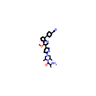 COc1c(-c2ccc(N3CC(C)N(C(=O)C(C)N)C(C)C3)nc2)cnc2c(-c3ccc(C#N)cc3)cccc12